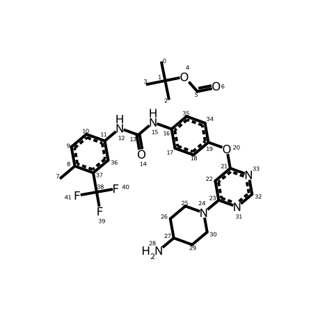 CC(C)(C)OC=O.Cc1ccc(NC(=O)Nc2ccc(Oc3cc(N4CCC(N)CC4)ncn3)cc2)cc1C(F)(F)F